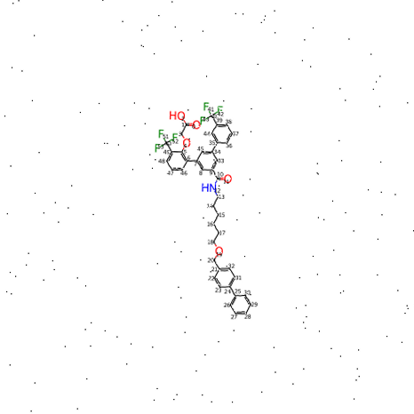 O=C(O)COc1c(-c2cc(C(=O)NCCCCCCOCc3ccc(-c4ccccc4)cc3)cc(-c3cccc(C(F)(F)F)c3)c2)cccc1C(F)(F)F